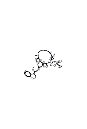 CN1CCCC/C=C\[C@@H]2C[C@@]2(C(=O)NS(=O)(=O)C2CC2)NC(=O)[C@@H]2C[C@@H](OC(=O)N3CCOc4ccccc43)C[C@H]2C1=O